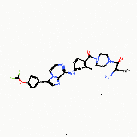 CCCC(N)C(=O)N1CCN(C(=O)c2ccc(Nc3nccn4c(-c5ccc(OC(F)F)cc5)cnc34)cc2C)CC1